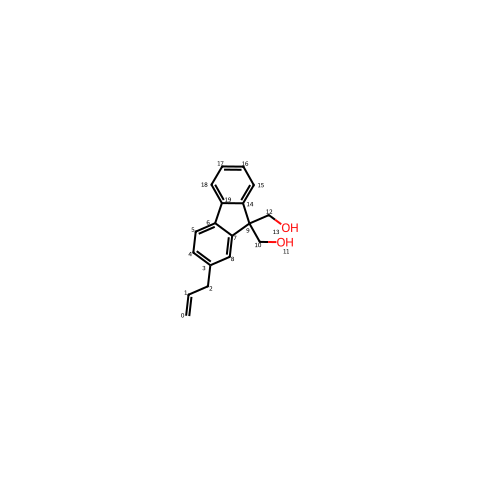 C=CCc1ccc2c(c1)C(CO)(CO)c1ccccc1-2